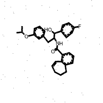 CC(C)Oc1cccc(CC(NC(=O)c2cccc3c2C=CCCC3)C(O)c2ccc(F)cc2)c1